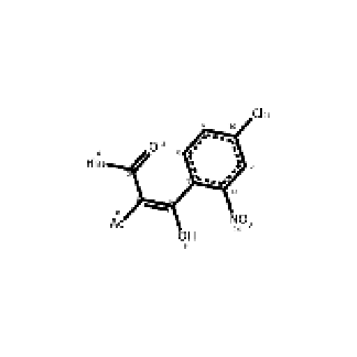 CC(=O)C(C(=O)C(C)(C)C)=C(O)c1ccc(Cl)cc1[N+](=O)[O-]